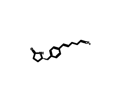 C=CCC/C=C/c1ccc(C[C@@H]2CCC(=O)N2)cc1